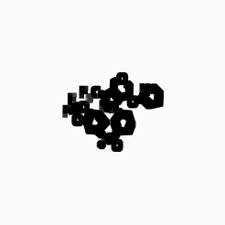 CN(C(=O)c1cccc(-n2nc(C(F)(F)F)c3c2C(Oc2ccccn2)COC3)c1)c1ccc2c(c1)OC(F)(F)O2